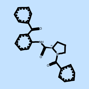 O=C(c1ccccc1)c1ccccc1NC(=O)[C@H]1CCCN1C(=O)c1ccccc1